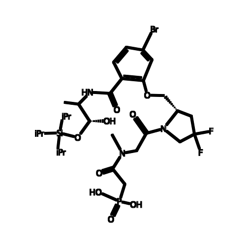 CC(NC(=O)c1ccc(Br)cc1OC[C@@H]1CC(F)(F)CN1C(=O)CN(C)C(=O)CP(=O)(O)O)[C@H](O)O[Si](C(C)C)(C(C)C)C(C)C